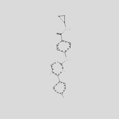 O=C(NC1CC1)c1ccc(Nc2nccc(-c3ccc(Cl)cc3)n2)cc1